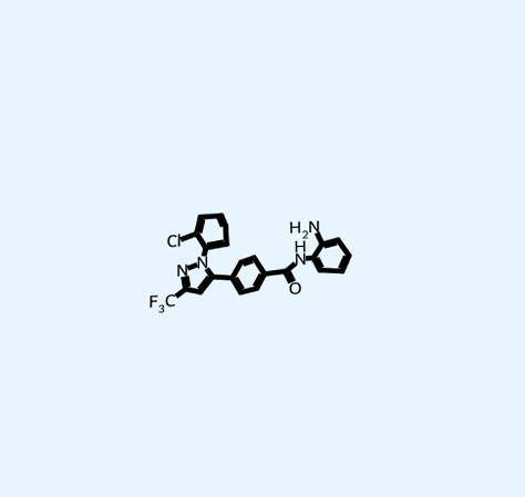 Nc1ccccc1NC(=O)c1ccc(-c2cc(C(F)(F)F)nn2-c2ccccc2Cl)cc1